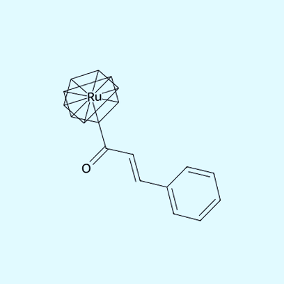 O=C(C=Cc1ccccc1)[C]12[CH]3[CH]4[CH]5[CH]1[Ru]45321678[CH]2[CH]1[CH]6[CH]7[CH]28